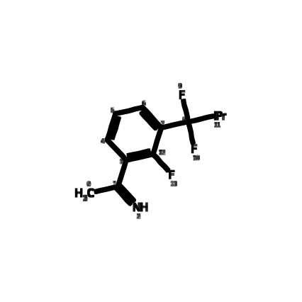 CC(=N)c1cccc(C(F)(F)C(C)C)c1F